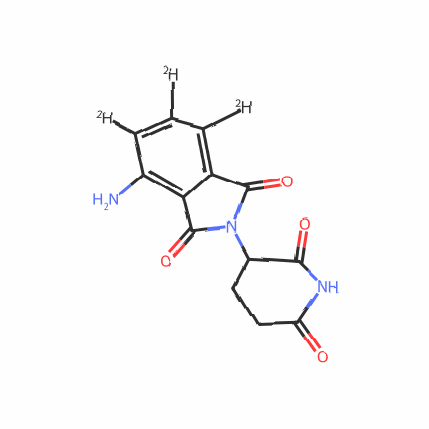 [2H]c1c([2H])c(N)c2c(c1[2H])C(=O)N(C1CCC(=O)NC1=O)C2=O